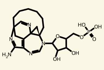 NC1=NC23C=NC45C[C@@]4(CCCCCC2)N(C2OC(COP(=O)(O)O)C(O)C2O)C=NC1=C5C3